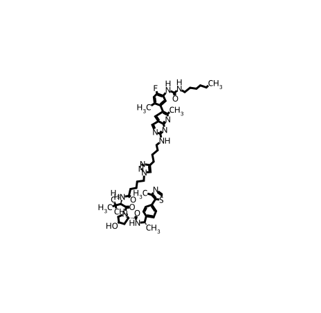 CCCCCCNC(=O)Nc1cc(-c2cc3cnc(NCCCCc4cn(CCCCC(=O)N[C@@H](C(=O)N5C[C@H](O)C[C@H]5C(=O)N[C@@H](C)c5ccc(-c6scnc6C)cc5)C(C)(C)C)nn4)nc3nc2C)c(C)cc1F